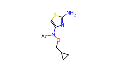 CC(=O)N(OCC1CC1)c1csc(N)n1